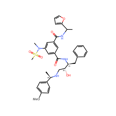 COc1ccc([C@@H](C)NC[C@@H](O)[C@H](Cc2ccccc2)NC(=O)c2cc(C(=O)NC(C)c3ccco3)cc(N(C)S(C)(=O)=O)c2)cc1